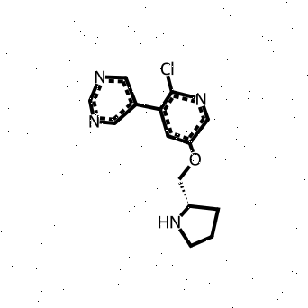 Clc1ncc(OC[C@@H]2CCCN2)cc1-c1cncnc1